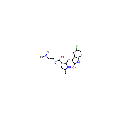 CCN(CC)CCNC(O)C1CC(C)NC1CC1C(O)NC2CCC(Br)CC21